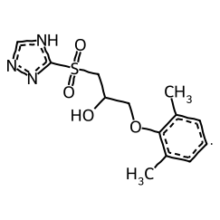 Cc1c[c]cc(C)c1OCC(O)CS(=O)(=O)c1nnc[nH]1